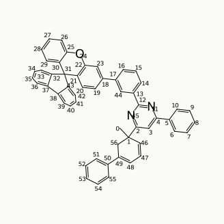 CC1(c2cc(-c3ccccc3)nc(-c3cccc(-c4ccc5c(c4)Oc4ccccc4C54c5ccccc5-c5ccccc54)c3)n2)C=CC=C(c2ccccc2)C1